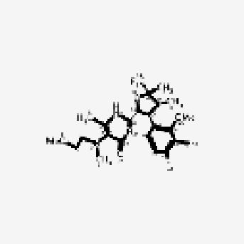 COCCN(C)c1c(C)[nH]c([C@@H]2O[C@@](C)(C(F)(F)F)[C@@H](C)[C@H]2c2ccc(F)c(F)c2OC)nc1=O